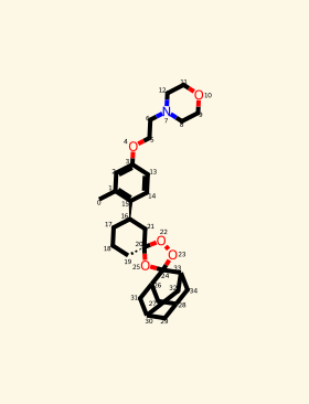 Cc1cc(OCCN2CCOCC2)ccc1[C@@H]1CCC[C@]2(C1)OOC1(O2)C2CC3CC(C2)CC1C3